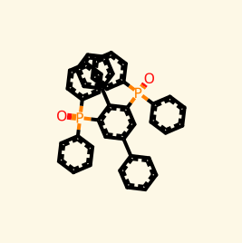 O=P(c1ccccc1)(c1ccccc1)c1cc(-c2ccccc2)cc(P(=O)(c2ccccc2)c2ccccc2)c1-c1ccccc1